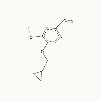 COc1cc(C=O)ncc1OCC1CC1